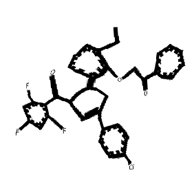 CCc1cccc(C2CC(c3ccc(Cl)cc3)=CC2C(=O)c2c(F)cc(F)cc2F)c1OCC(=O)c1ccccc1